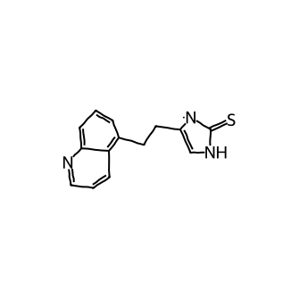 S=C1[N]C(CCc2cccc3ncccc23)=CN1